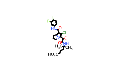 CC(C)(CCCC(=O)O)NC(=O)C(=O)c1c(Cl)c(C(=O)Nc2ccc(F)c(F)c2)c2n1CCC2